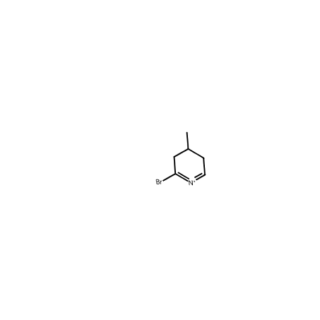 CC1CC=[N+]=C(Br)C1